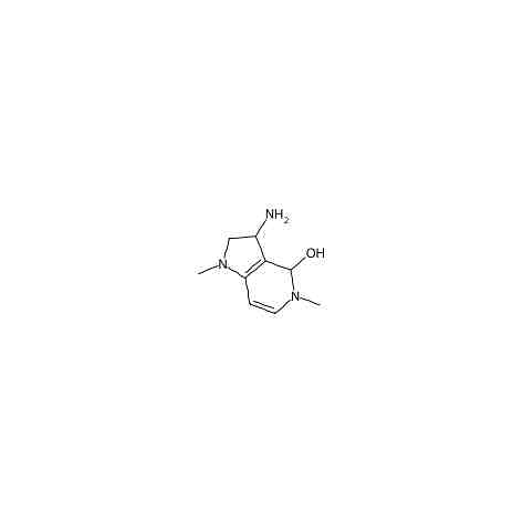 CN1CC(N)C2=C1C=CN(C)C2O